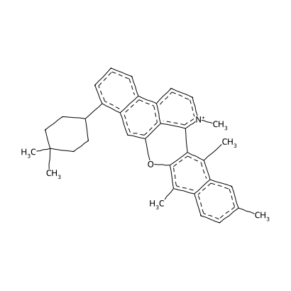 Cc1ccc2c(C)c3c(c(C)c2c1)-c1c2c(cc4c(C5CCC(C)(C)CC5)cccc4c2cc[n+]1C)O3